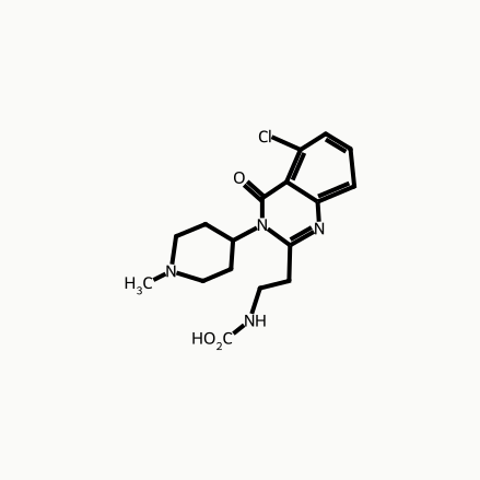 CN1CCC(n2c(CCNC(=O)O)nc3cccc(Cl)c3c2=O)CC1